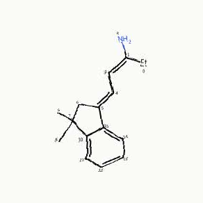 CC/C(N)=C\C=C1/CC(C)(C)c2ccccc21